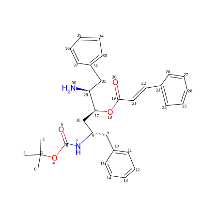 CC(C)(C)OC(=O)N[C@@H](Cc1ccccc1)C[C@H](OC(=O)/C=C/c1ccccc1)[C@@H](N)Cc1ccccc1